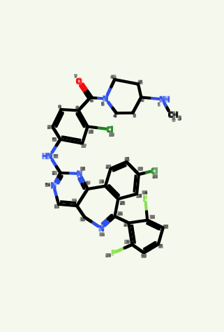 CNC1CCN(C(=O)c2ccc(Nc3ncc4c(n3)-c3ccc(Cl)cc3C(c3c(F)cccc3F)=NC4)cc2Cl)CC1